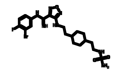 N=C(Nc1ccc(F)c(Br)c1)c1nonc1NCCC1CCC(CCNS(N)(=O)=O)CC1